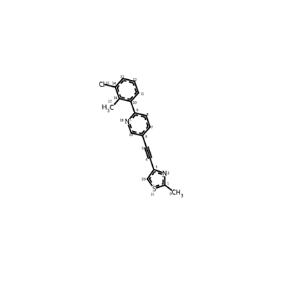 Cc1nc(C#Cc2ccc(-c3cccc(Cl)c3C)nc2)cs1